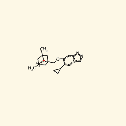 CC1=C2C3(C)CC(COc4cc5nncn5cc4C4CC4)(C1)CC2(C)C3